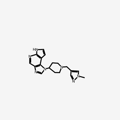 Cn1cc(CN2CCC(n3cnc4cnc5[nH]ccc5c43)CC2)cn1